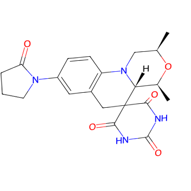 C[C@@H]1CN2c3ccc(N4CCCC4=O)cc3CC3(C(=O)NC(=O)NC3=O)[C@H]2[C@H](C)O1